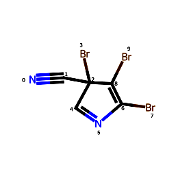 N#CC1(Br)C=NC(Br)=C1Br